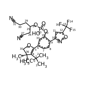 CC(C)(C)C1=C(c2ccc(-c3cc(C(F)(F)F)on3)c(OP(=O)(O)OC(CC#N)CCC#N)c2)OCC1(C)C